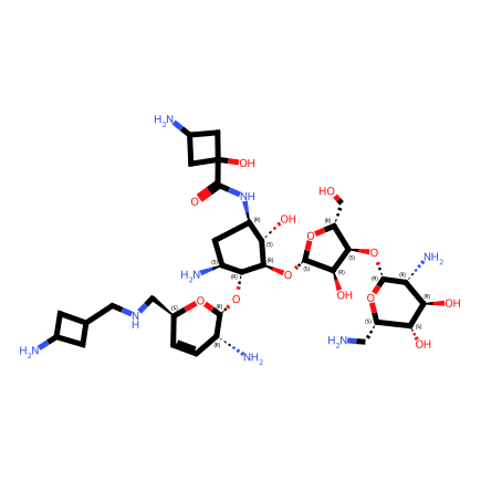 NC[C@@H]1O[C@H](O[C@H]2[C@@H](O)[C@H](O[C@@H]3[C@@H](O)[C@H](NC(=O)C4(O)CC(N)C4)C[C@H](N)[C@H]3O[C@H]3O[C@H](CNCC4CC(N)C4)C=C[C@H]3N)O[C@@H]2CO)[C@H](N)[C@@H](O)[C@@H]1O